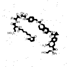 CCCN(CCO)C(=O)C1=Cc2ccc(C3(C(=O)Nc4cnc5c(c4)CN(C(=O)OCc4ccc(NC(=O)C(C)NC(=O)C(NC(=O)C(CCC(=O)O)NC(=O)CCCCCN6C(=O)C=CC6=O)C(C)C)cc4)CC5)CC3)cc2N=C(N)C1